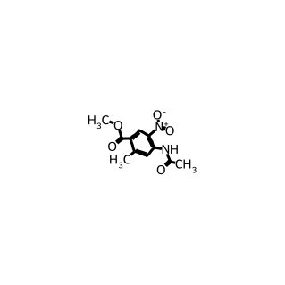 COC(=O)c1cc([N+](=O)[O-])c(NC(C)=O)cc1C